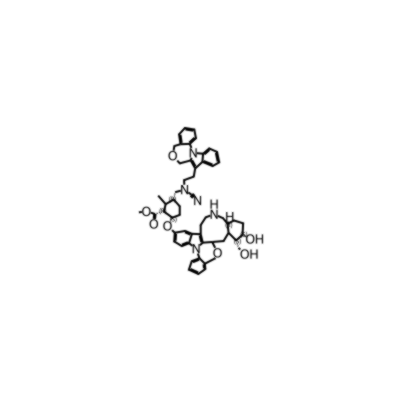 COC(=O)[C@@H]1C(C)[C@H](CN(C#N)CCc2c3n(c4ccccc24)-c2ccccc2COC3)CC[C@@H]1Oc1ccc2c(c1)c1c3n2-c2ccccc2COC3CC2[C@@H](CC[C@H](O)[C@@H]2CO)CNCC1